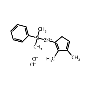 CC1=CC[C]([Zr+2][Si](C)(C)c2ccccc2)=C1C.[Cl-].[Cl-]